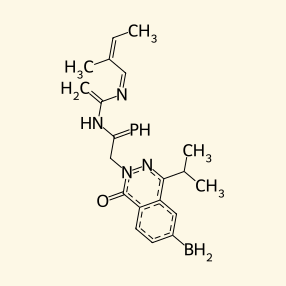 Bc1ccc2c(=O)n(CC(=P)NC(=C)/N=C\C(C)=C/C)nc(C(C)C)c2c1